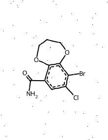 NC(=O)c1cc(Cl)c(Br)c2c1OCCCO2